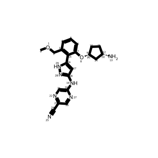 COCc1cccc(O[C@@H]2CC[C@H](N)C2)c1-c1cc(Nc2cnc(C#N)cn2)n[nH]1